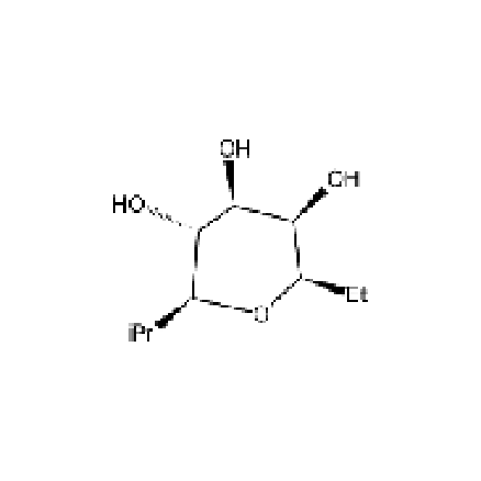 CC[C@H]1O[C@@H](C(C)C)[C@H](O)[C@@H](O)[C@H]1O